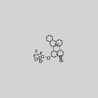 COc1ccc(-c2cccc3c4ccccc4cc(-c4cc(OC)cc(OC)c4)[n+]23)cc1.O=S(=O)([O-])C(F)(F)F